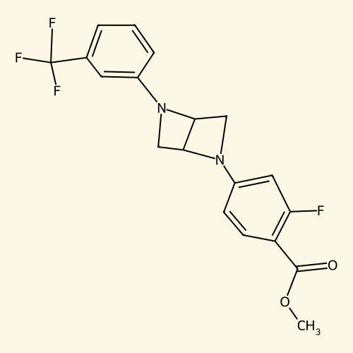 COC(=O)c1ccc(N2CC3C2CN3c2cccc(C(F)(F)F)c2)cc1F